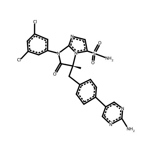 C[C@@]1(Cc2ccc(-c3cnc(N)nc3)cc2)C(=O)N(c2cc(Cl)cc(Cl)c2)c2ncc(S(N)(=O)=O)n21